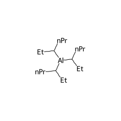 CCC[CH](CC)[Al]([CH](CC)CCC)[CH](CC)CCC